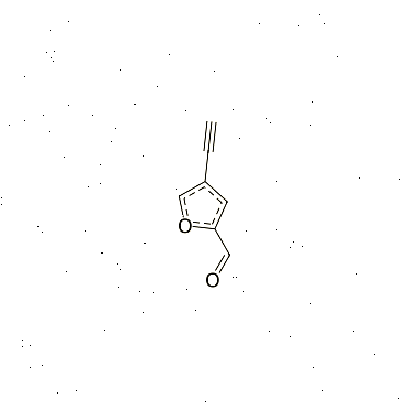 C#Cc1coc(C=O)c1